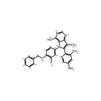 Cc1cc(N)cnc1-c1c(C)c2ncnc(O)c2n1-c1ccc(OCc2ccccc2)c(F)c1